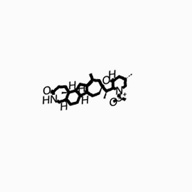 CC1=C2C[C@H]3[C@@H](CC[C@@H]4CNC(=O)CC[C@@]43C)[C@@H]2CC[C@@]2(C1)O[C@@H]1C[C@H](C)CN([S+](C)[O-])C1[C@H]2C